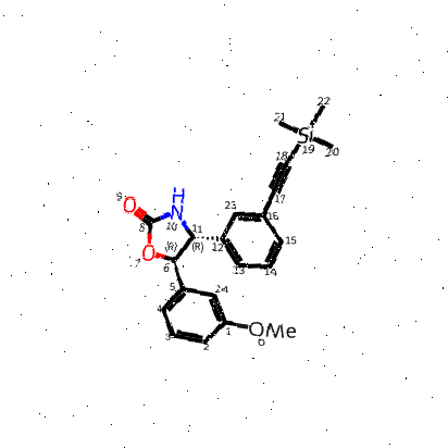 COc1cccc([C@H]2OC(=O)N[C@@H]2c2cccc(C#C[Si](C)(C)C)c2)c1